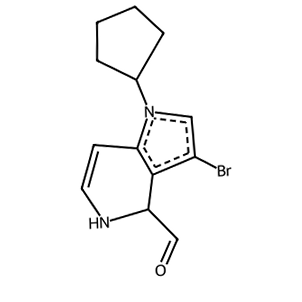 O=CC1NC=Cc2c1c(Br)cn2C1CCCC1